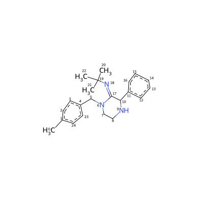 Cc1ccc(CN2CCNC(c3ccccc3)/C2=N/C(C)(C)C)cc1